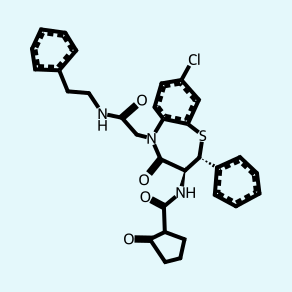 O=C(CN1C(=O)[C@H](NC(=O)C2CCCC2=O)[C@@H](c2ccccc2)Sc2cc(Cl)ccc21)NCCc1ccccc1